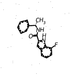 C[C@H](NC(=O)c1cc2cccc(F)c2[nH]1)c1ccccc1